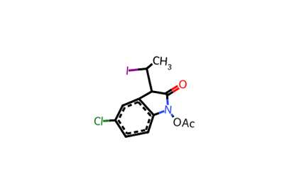 CC(=O)ON1C(=O)C(C(C)I)c2cc(Cl)ccc21